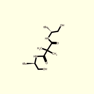 CC(C)(C(=O)N[C@@H](CO)C(C)(C)C)C(=O)N[C@@H](CO)C(C)(C)C